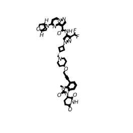 Cn1c(=O)n(C2CCC(=O)NC2=O)c2cccc(C#CCOC3CCN(C[C@H]4C[C@H](n5cc(NC(=O)c6cnn7ccc(N8C[C@H]9C[C@@H]8CO9)nc67)c(C(F)F)n5)C4)CC3)c21